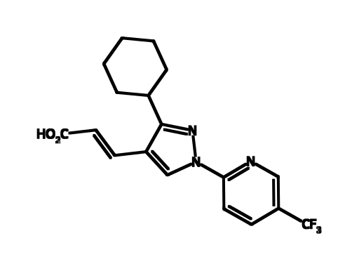 O=C(O)C=Cc1cn(-c2ccc(C(F)(F)F)cn2)nc1C1CCCCC1